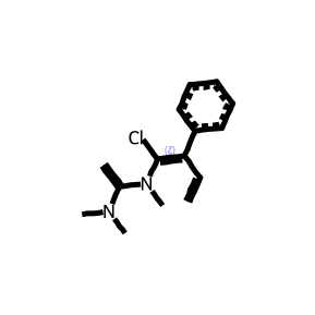 C=C/C(=C(/Cl)N(C)C(=C)N(C)C)c1ccccc1